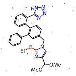 CCOc1nc(C(OC)OC)cn1Cc1ccc(-c2ccccc2-c2nnn[nH]2)c(-c2ccccc2)c1